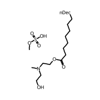 CCCCCCCCCCCCCCCCCC(=O)OCCN(C)CCO.COS(=O)(=O)O